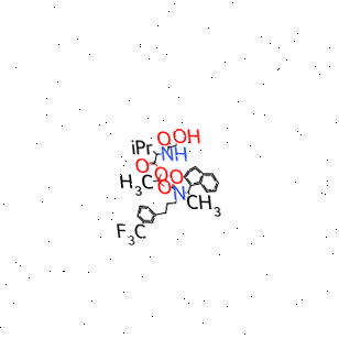 CC(OC(=O)C(NC(=O)CO)C(C)C)OC(=O)N(CCCc1cccc(C(F)(F)F)c1)[C@H](C)c1cccc2ccccc12